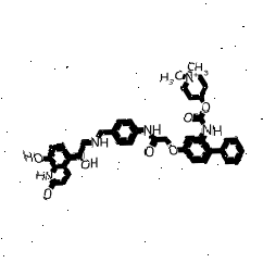 C[N+]1(C)CCC(OC(=O)Nc2cc(OCC(=O)Nc3ccc(CNC[C@H](O)c4ccc(O)c5[nH]c(=O)ccc45)cc3)ccc2-c2ccccc2)CC1